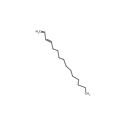 C=CC=C[CH]CCCCCCCCCC